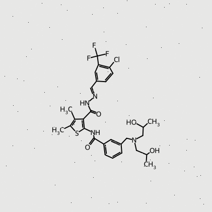 Cc1sc(NC(=O)c2cccc(CN(CC(C)O)CC(C)O)c2)c(C(=O)NN=Cc2ccc(Cl)c(C(F)(F)F)c2)c1C